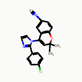 [C-]#[N+]c1ccc2c(c1)C(n1ccnc1-c1ccc(Cl)cc1)=CC(C)(C)O2